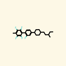 CCC(C)CCC1CCC(c2ccc(-c3c(F)c(F)c(C)c(F)c3F)c(F)c2)CC1